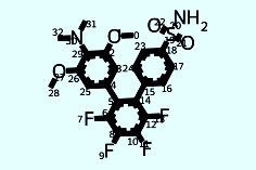 COc1cc(-c2c(F)c(F)c(F)c(F)c2-c2ccc(S(N)(=O)=O)cc2)cc(OC)c1N(C)C